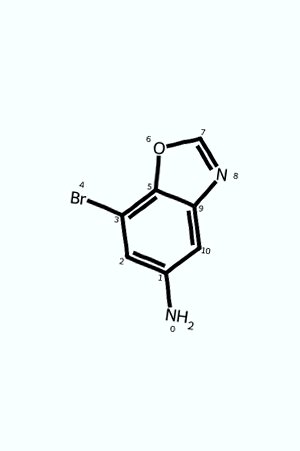 Nc1cc(Br)c2ocnc2c1